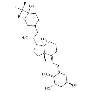 C=C1/C(=C\C=C2/CCC[C@]3(C)[C@@H]([C@H](C)CN4CCC(O)(C(F)(F)F)CC4)CC[C@@H]23)C[C@@H](O)C[C@@H]1O